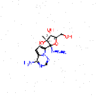 C[C@@]1(O)[C@H](O)[C@@H](CO)OC1(N=[N+]=[N-])c1ccc2c(N)ncnn12